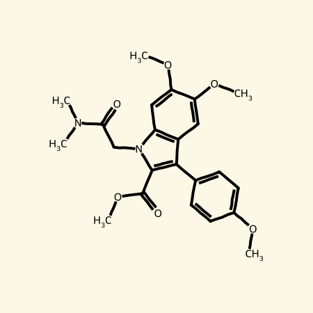 COC(=O)c1c(-c2ccc(OC)cc2)c2cc(OC)c(OC)cc2n1CC(=O)N(C)C